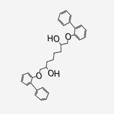 OC(CCCCC(O)COc1ccccc1-c1ccccc1)COc1ccccc1-c1ccccc1